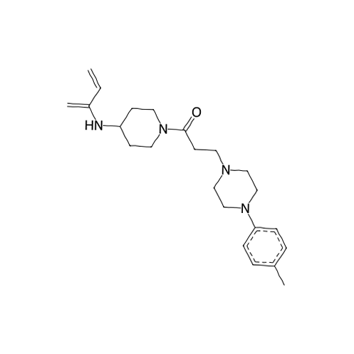 C=CC(=C)NC1CCN(C(=O)CCN2CCN(c3ccc(C)cc3)CC2)CC1